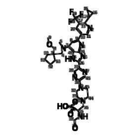 COCC1(CN(C)c2cc(-c3cnc(C4CC4)c(C(F)(F)F)c3)nc3nc(-c4cnc(N5CCN(CC(NC=O)S(=O)(=O)O)CC5)cn4)[nH]c23)CCCC1